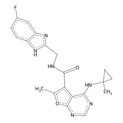 Cc1oc2ncnc(NC3(C)CC3)c2c1C(=O)NCc1nc2cc(F)ccc2[nH]1